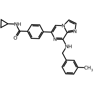 Cc1cccc(CNc2nc(-c3ccc(C(=O)NC4CC4)cc3)cn3ccnc23)c1